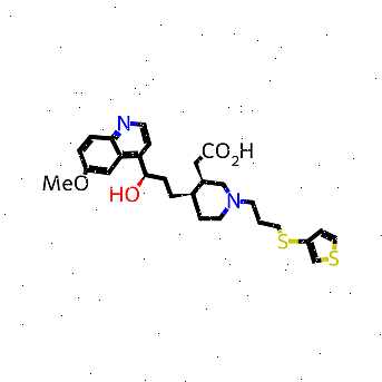 COc1ccc2nccc([C@H](O)CC[C@@H]3CCN(CCCSc4ccsc4)C[C@@H]3CC(=O)O)c2c1